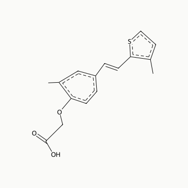 Cc1cc(/C=C/c2sccc2C)ccc1OCC(=O)O